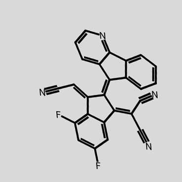 N#C/C=C1/C(=C2/c3ccccc3-c3ncccc32)C(=C(C#N)C#N)c2cc(F)cc(F)c21